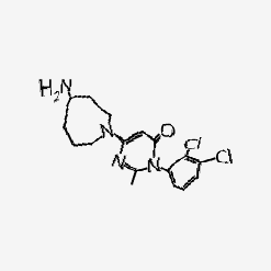 Cc1nc(N2CCCC(N)CC2)cc(=O)n1-c1cccc(Cl)c1Cl